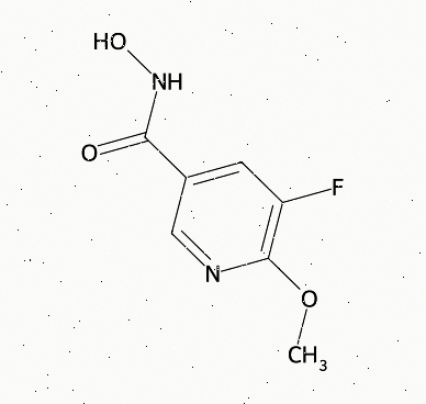 COc1ncc(C(=O)NO)cc1F